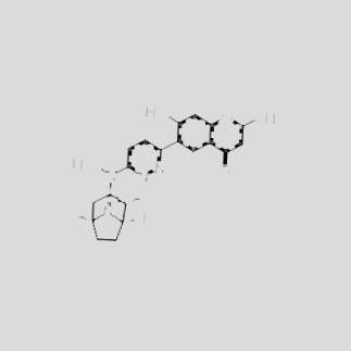 Cc1cc(=O)c2cc(-c3ccc(N(C)[C@@H]4C[C@H]5CC[C@@H]([C@@H]4F)N5C)nn3)c(O)cc2o1